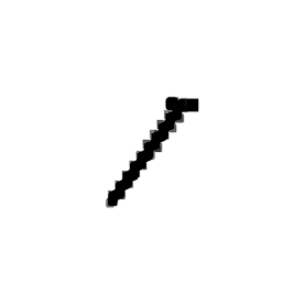 CCCCC/C=C/CC/C=C/CC/C=C/CCCCC(=O)O